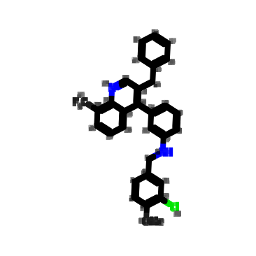 COc1ccc(CNc2cccc(-c3c(Cc4ccccc4)cnc4c(C(F)(F)F)cccc34)c2)cc1Cl